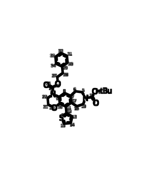 CC(C)(C)OC(=O)N1CCc2cc3c(c(-c4cccs4)c2CC1)OCCN3C(=O)OCCc1ccccc1